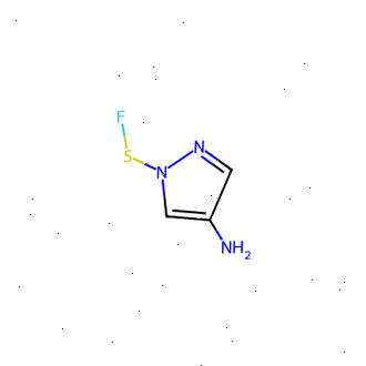 Nc1cnn(SF)c1